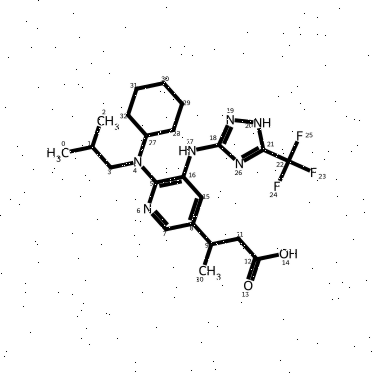 CC(C)CN(c1ncc(C(C)CC(=O)O)cc1Nc1n[nH]c(C(F)(F)F)n1)C1CCCCC1